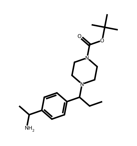 CCC(c1ccc(C(C)N)cc1)N1CCN(C(=O)OC(C)(C)C)CC1